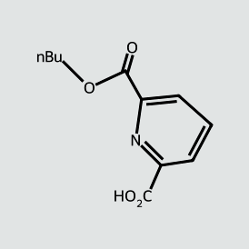 CCCCOC(=O)c1cccc(C(=O)O)n1